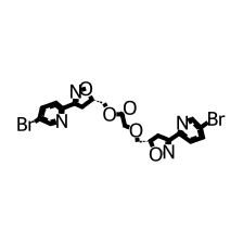 O=C(COC[C@@H]1CC(c2ccc(Br)cn2)=NO1)OC[C@@H]1CC(c2ccc(Br)cn2)=NO1